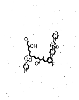 C/C(=C\c1cc(F)cc(N2CCN(S(=O)(=O)CCN3CCOCC3)CC2)c1)[C@@H](C=O)[C@@H](C)/C=C/[C@H](OC(=O)N1CCN(C)CC1)[C@@H](C)CC[C@@H](O)CC=O